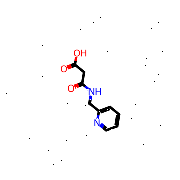 O=C(O)CC(=O)NCc1ccccn1